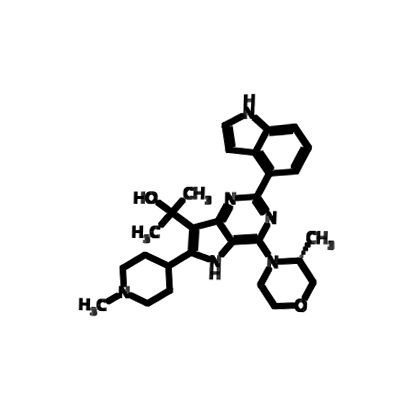 C[C@@H]1COCCN1c1nc(-c2cccc3[nH]ccc23)nc2c(C(C)(C)O)c(C3CCN(C)CC3)[nH]c12